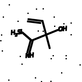 C=CC(C)(O)C(=N)[SiH3]